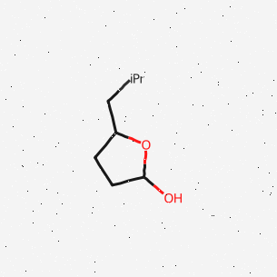 CC(C)CC1CCC(O)O1